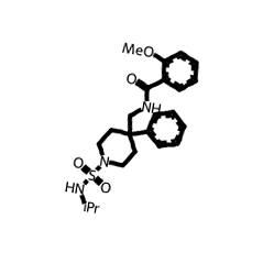 COc1ccccc1C(=O)NCC1(c2ccccc2)CCN(S(=O)(=O)NC(C)C)CC1